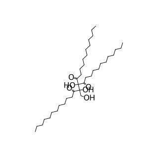 CCCCCCCCCCCC(=O)C(O)(CO)C(O)(C(=O)CCCCCCCCCCC)C(=O)CCCCCCCCCCC